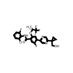 C[C@H](Oc1cc(-c2cnc(C3(CO)CC3)cn2)c(F)cc1C(=O)Nc1c(F)cccc1Cl)C(F)(F)F